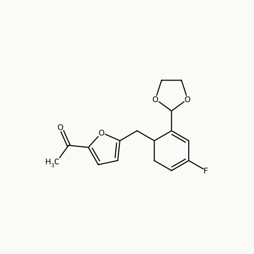 CC(=O)c1ccc(CC2CC=C(F)C=C2C2OCCO2)o1